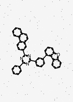 c1ccc(-c2nc(-c3cccc(-c4cccc5oc6ccccc6c45)c3)nc(-c3ccc4c(ccc5ccccc54)c3)n2)cc1